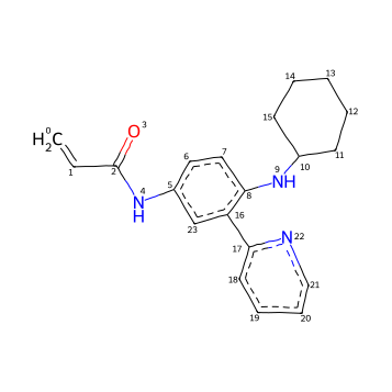 C=CC(=O)Nc1ccc(NC2CCCCC2)c(-c2ccccn2)c1